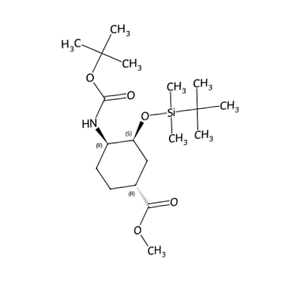 COC(=O)[C@@H]1CC[C@@H](NC(=O)OC(C)(C)C)[C@@H](O[Si](C)(C)C(C)(C)C)C1